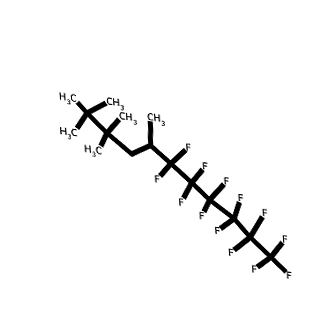 CC(CC(C)(C)C(C)(C)C)C(F)(F)C(F)(F)C(F)(F)C(F)(F)C(F)(F)C(F)(F)F